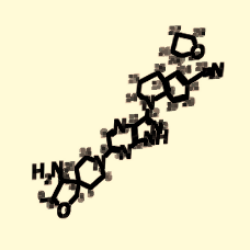 C[C@@H]1OCC2(CCN(c3cnc4c(N5CCCc6c5ccc(C#N)c6[C@@H]5CCCO5)n[nH]c4n3)CC2)[C@@H]1N